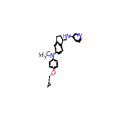 CN(c1ccc(OCC2CC2)cc1)c1ccc2c(c1)CC[C@H]2CNc1cccnc1